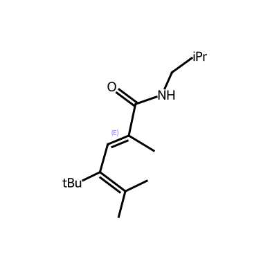 CC(C)=C(/C=C(\C)C(=O)NCC(C)C)C(C)(C)C